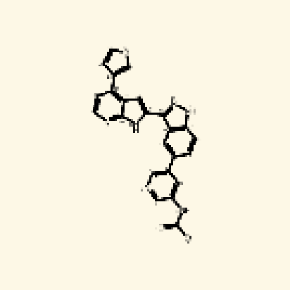 CCC(=O)Nc1cncc(-c2ccc3[nH]nc(-c4cc5c(-c6ccoc6)ccnc5[nH]4)c3c2)c1